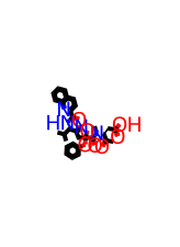 CC(=O)[C@H](CC(=O)O)N(C)C(=O)C1(Oc2ccccc2)CC([C@@H](NC(=O)c2ccc3ccccc3n2)C(C)C)=NO1